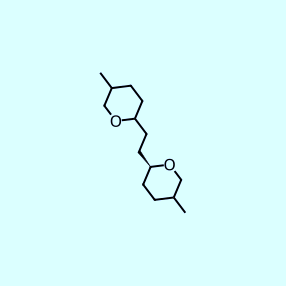 CC1CCC(CC[C@@H]2CCC(C)CO2)OC1